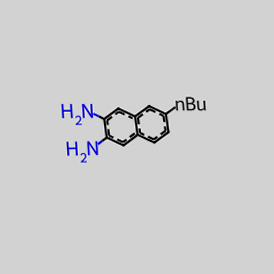 CCCCc1ccc2cc(N)c(N)cc2c1